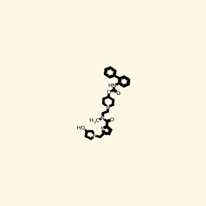 CN(CCN1CCC(OC(=O)Nc2ccccc2-c2ccccc2)CC1)C(=O)c1ccc(CN2CCC(O)C2)s1